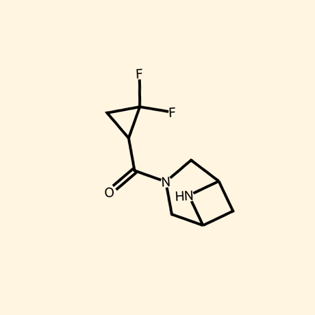 O=C(C1CC1(F)F)N1CC2CC(C1)N2